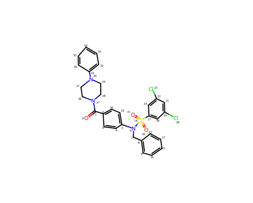 O=C(c1ccc(N(Cc2ccccc2)S(=O)(=O)c2cc(Cl)cc(Cl)c2)cc1)N1CCN(c2ccccc2)CC1